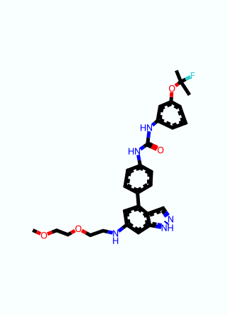 COCCOCCNc1cc(-c2ccc(NC(=O)Nc3cccc(OC(C)(C)F)c3)cc2)c2cn[nH]c2c1